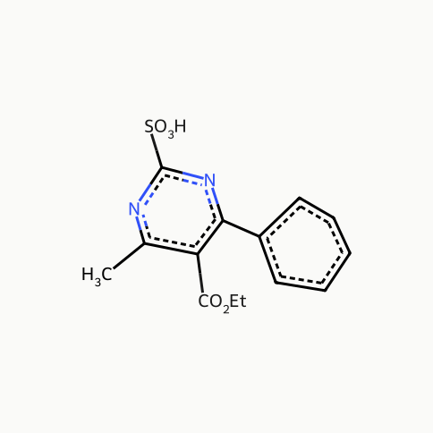 CCOC(=O)c1c(C)nc(S(=O)(=O)O)nc1-c1ccccc1